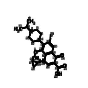 COc1c(N2CCN(C(C)C)CC2)c(F)cc2c(=O)c(C(=O)O)cn(C3CC3)c12